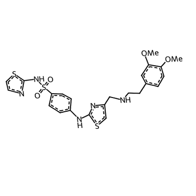 COc1ccc(CCNCc2csc(Nc3ccc(S(=O)(=O)Nc4nccs4)cc3)n2)cc1OC